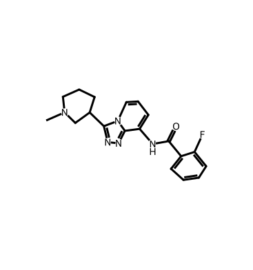 CN1CCCC(c2nnc3c(NC(=O)c4ccccc4F)cccn23)C1